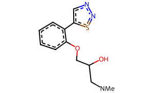 CNCC(O)COc1ccccc1-c1cnns1